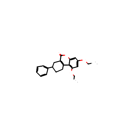 N#CCOc1cc(OCC#N)c2c3c(c(=O)oc2c1)CC(c1ccccc1)CC3